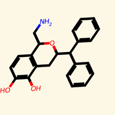 NCC1OC(C(c2ccccc2)c2ccccc2)Cc2c1ccc(O)c2O